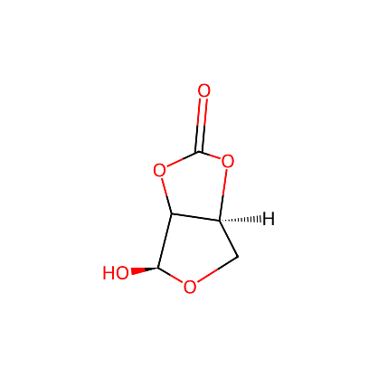 O=C1OC2[C@H](O)OC[C@@H]2O1